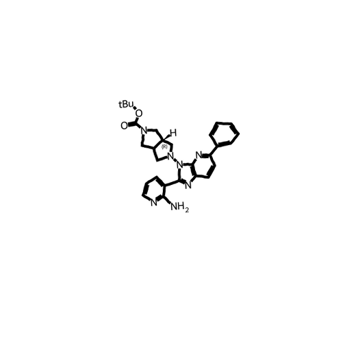 CC(C)(C)OC(=O)N1CC2CN(n3c(-c4cccnc4N)nc4ccc(-c5ccccc5)nc43)C[C@H]2C1